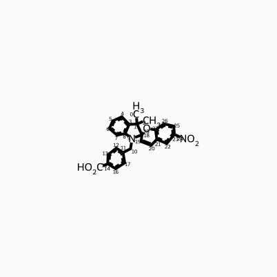 CC1(C)c2ccccc2N(Cc2ccc(C(=O)O)cc2)C12C=Cc1cc([N+](=O)[O-])ccc1O2